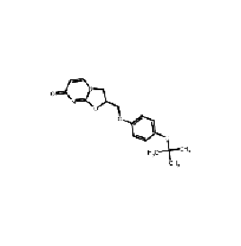 CC(C)(C)Oc1ccc(OCC2Cn3ccc(=O)nc3O2)cc1